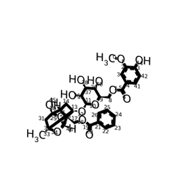 COc1cc(C(=O)OC[C@H]2O[C@@H](O[C@]34C[C@@H]5[C@@]3(COC(=O)c3ccccc3)[C@H]3O[C@]5(O)C[C@]4(C)O3)[C@H](O)[C@@H](O)[C@@H]2O)ccc1O